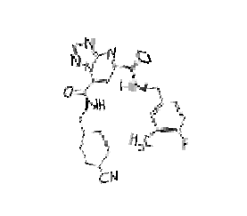 Cc1cc(CNC(=O)c2cc(C(=O)NCC3CCC(C#N)CC3)n3ncnc3n2)ccc1F